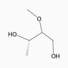 COC(CO)[C@H](C)O